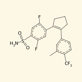 Cc1cc(C2=C(c3cc(F)c(S(N)(=O)=O)cc3F)CCC2)ccc1C(F)(F)F